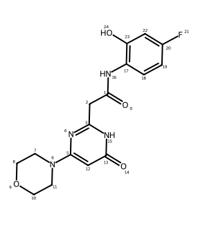 O=C(Cc1nc(N2CCOCC2)cc(=O)[nH]1)Nc1ccc(F)cc1O